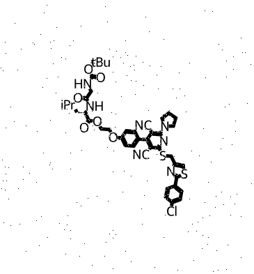 CC(C)C[C@H](NC(=O)CNC(=O)OC(C)(C)C)C(=O)OCCOc1ccc(-c2c(C#N)c(SCc3csc(-c4ccc(Cl)cc4)n3)nc(N3CCCC3)c2C#N)cc1